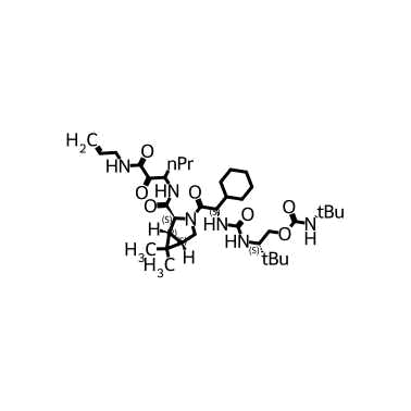 C=CCNC(=O)C(=O)C(CCC)NC(=O)[C@@H]1[C@@H]2[C@H](CN1C(=O)[C@@H](NC(=O)N[C@H](COC(=O)NC(C)(C)C)C(C)(C)C)C1CCCCC1)C2(C)C